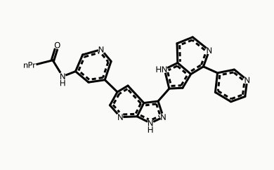 CCCC(=O)Nc1cncc(-c2cnc3[nH]nc(-c4cc5c(-c6cccnc6)nccc5[nH]4)c3c2)c1